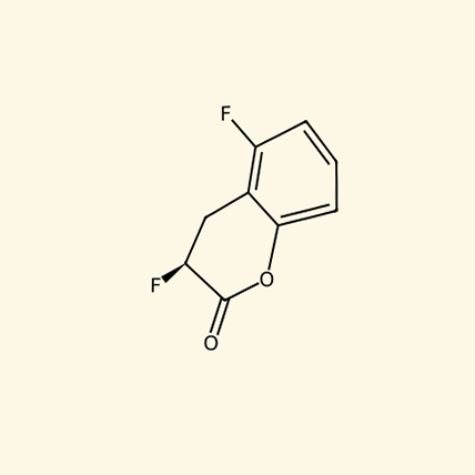 O=C1Oc2cccc(F)c2C[C@@H]1F